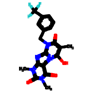 Cc1c(O)n2c3c(=O)n(C)c(=O)n(C)c3nc2n(Cc2cccc(C(F)(F)F)c2)c1=O